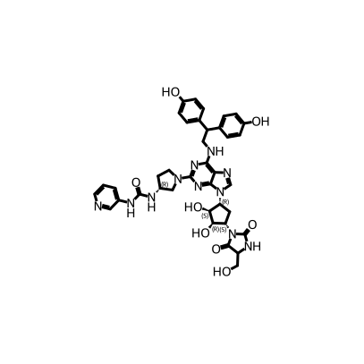 O=C(Nc1cccnc1)N[C@@H]1CCN(c2nc(NCC(c3ccc(O)cc3)c3ccc(O)cc3)c3ncn([C@@H]4C[C@H](N5C(=O)NC(CO)C5=O)[C@@H](O)[C@H]4O)c3n2)C1